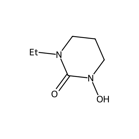 CCN1CCCN(O)C1=O